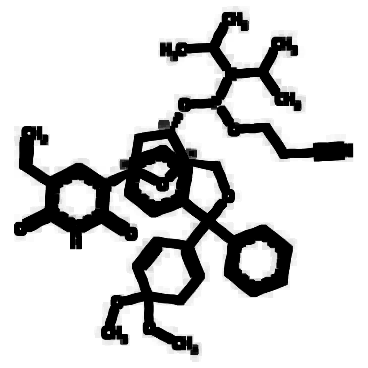 C=Cc1cn([C@H]2C[C@H](OP(OCCC#N)N(C(C)C)C(C)C)[C@@H](COC(C3=CCC(OC)(OC)C=C3)(c3ccccc3)c3ccccc3)O2)c(=O)[nH]c1=O